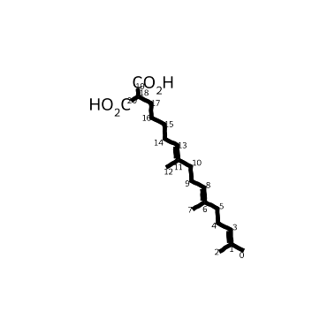 CC(C)=CCC/C(C)=C/CC/C(C)=C/CCCCC(C(=O)O)C(=O)O